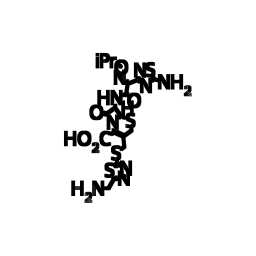 CC(C)ON=C(C(=O)NC1C(=O)N2C(C(=O)O)=C(CSc3nnc(CN)s3)CS[C@@H]12)c1nsc(N)n1